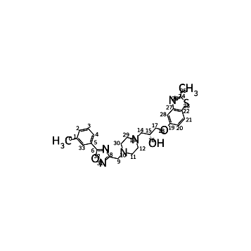 Cc1cccc(-c2nc(CN3CCN(C[C@@H](O)COc4ccc5sc(C)nc5c4)CC3)no2)c1